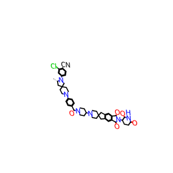 C[C@H]1CC2(CCN(c3ccc(C(=O)N4CCC(N5CCC6(CC5)Cc5cc7c(cc5C6)C(=O)N(C5CCC(=O)NC5=O)C7=O)CC4)cc3)CC2)CN1c1ccc(C#N)c(Cl)c1